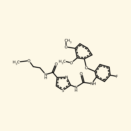 COCCNC(=O)c1csc(NC(=O)Nc2cc(F)ccc2Oc2cccc(OC)c2OC)n1